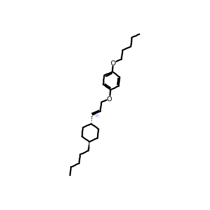 CCCCCOc1ccc(OC/C=C/[C@H]2CC[C@H](CCCCC)CC2)cc1